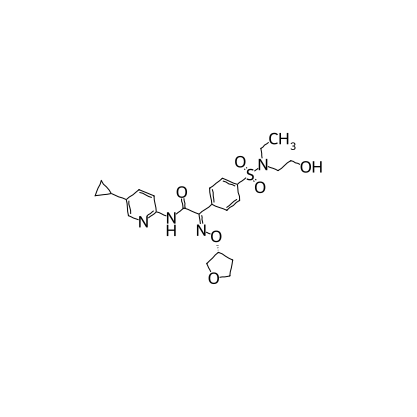 CCN(CCO)S(=O)(=O)c1ccc(/C(=N\O[C@@H]2CCOC2)C(=O)Nc2ccc(C3CC3)cn2)cc1